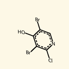 Oc1c(Br)cnc(Cl)c1Br